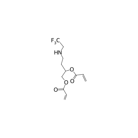 C=CC(=O)OCC(CCNCC(F)(F)F)OC(=O)C=C